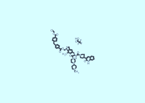 Cc1cc(C[C@@H](NC(=O)N2CCC(c3cc4ccccc4[nH]c3=O)CC2)C(=O)N2CCN(C3CCN(C)CC3)CC2)cc2cnn(COC(=O)c3ccc(Cc4ccc(C(=O)OCCl)cc4)cc3)c12.O=C(O)C(F)(F)F